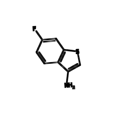 Nc1csc2cc(F)ccc12